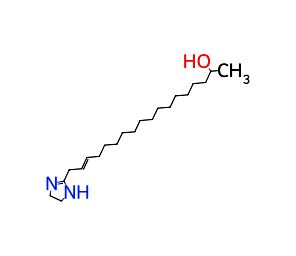 CC(O)CCCCCCCCCCCCCC=CCC1=NCCN1